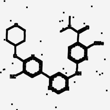 COc1nc(Nc2cc(-c3cnc(OC4CCOCC4)c(C#N)c3)ncn2)ccc1C(=O)N(C)C